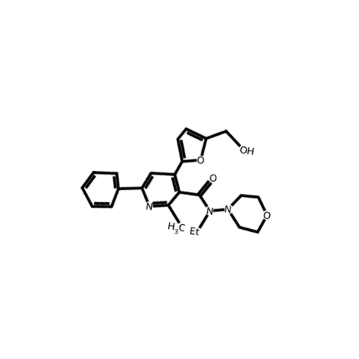 CCN(C(=O)c1c(-c2ccc(CO)o2)cc(-c2ccccc2)nc1C)N1CCOCC1